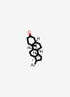 CC(=O)C1CC[C@H]2[C@@H]3CC[C@@H]4CC(=O)CCC4(C)[C@@H]3CC[C@]12C